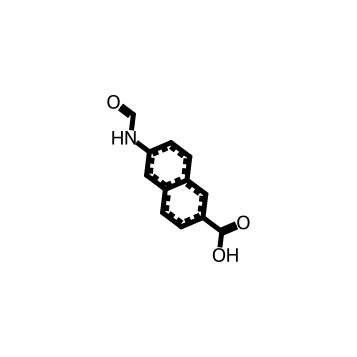 O=CNc1ccc2cc(C(=O)O)ccc2c1